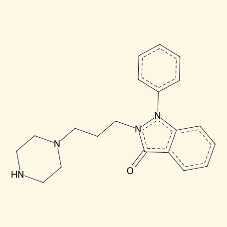 O=c1c2ccccc2n(-c2ccccc2)n1CCCN1CCNCC1